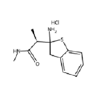 CNC(=O)[C@@H](C)C1(N)Cc2ccccc2S1.Cl